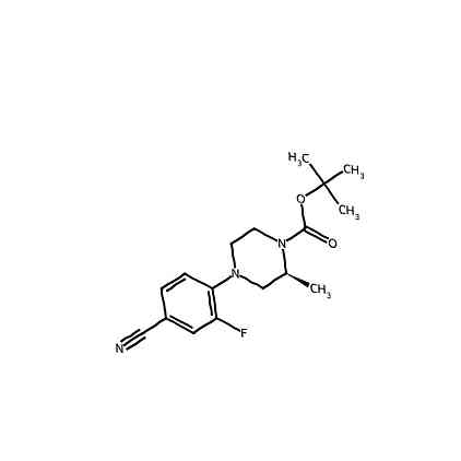 C[C@H]1CN(c2ccc(C#N)cc2F)CCN1C(=O)OC(C)(C)C